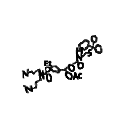 CCc1cc(C(COCC(=O)NCCSC(c2ccccc2)(c2ccccc2)c2ccccc2)OC(C)=O)ccc1OC(=O)N(CCCN(C)C)CCCN(C)C